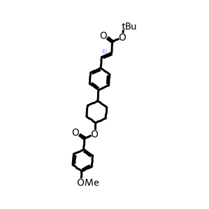 COc1ccc(C(=O)OC2CCC(c3ccc(/C=C/C(=O)OC(C)(C)C)cc3)CC2)cc1